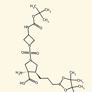 CC(C)(C)OC(=O)NC1CN(S(=O)(=O)N2C[C@@H](CCCB3OC(C)(C)C(C)(C)O3)[C@@](N)(C(=O)O)C2)C1